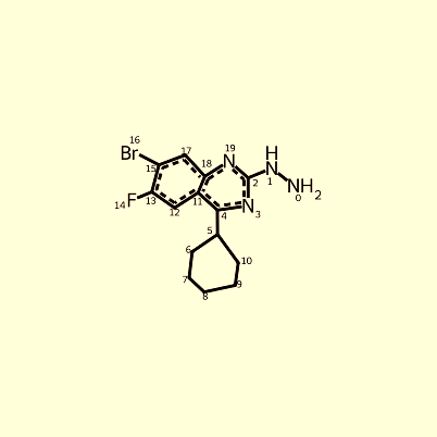 NNc1nc(C2CCCCC2)c2cc(F)c(Br)cc2n1